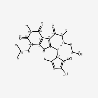 Cc1nc(Cl)c(Cl)n1Cc1sc2c(c1C(=O)N(C)OCCO)c(=O)n(C)c(=O)n2CC(C)C